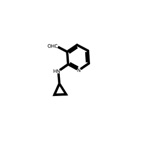 O=Cc1cccnc1NC1CC1